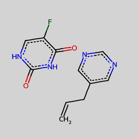 C=CCc1cncnc1.O=c1[nH]cc(F)c(=O)[nH]1